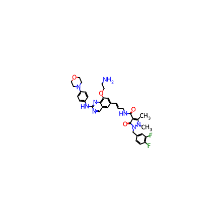 Cc1c(C(=O)NCC=Cc2cc(OCCN)c3nc(Nc4ccc(N5CCOCC5)cc4)ncc3c2)c(=O)n(Cc2ccc(F)c(F)c2)n1C